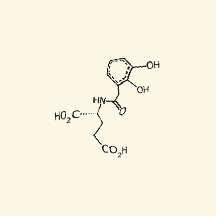 O=C(O)CC[C@@H](NC(=O)c1cccc(O)c1O)C(=O)O